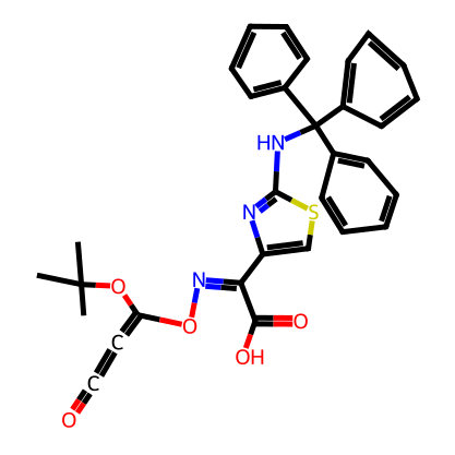 CC(C)(C)OC(=C=C=O)ON=C(C(=O)O)c1csc(NC(c2ccccc2)(c2ccccc2)c2ccccc2)n1